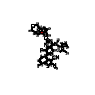 C=Nc1sc2c(F)ccc(-c3ncc4c(N(C)CC5(N(C)C)CCC5)nc(OCC5(CN6C7COCC6CC(C)C7)CC5)nc4c3F)c2c1C#N